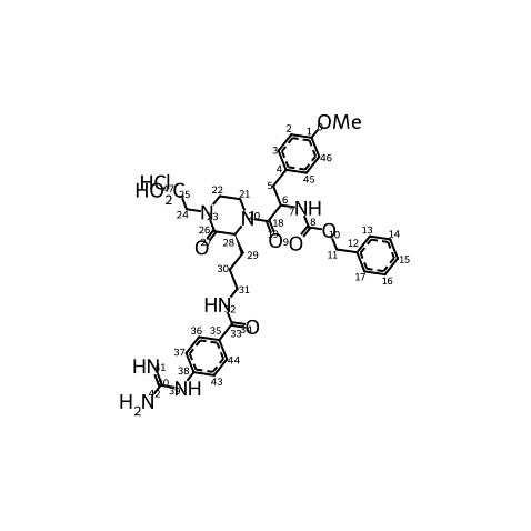 COc1ccc(CC(NC(=O)OCc2ccccc2)C(=O)N2CCN(CC(=O)O)C(=O)[C@@H]2CCCNC(=O)c2ccc(NC(=N)N)cc2)cc1.Cl